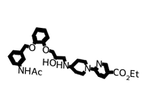 CCOC(=O)c1ccc(N2CCC(NCC(O)COc3ccccc3OCc3cccc(NC(C)=O)c3)CC2)nc1